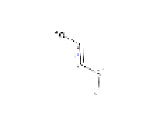 CS/C=C/[O]